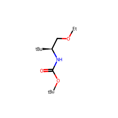 CCOC[C@@H](NC(=O)OC(C)(C)C)C(C)(C)C